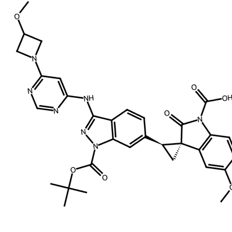 COc1ccc2c(c1)[C@]1(C[C@H]1c1ccc3c(Nc4cc(N5CC(OC)C5)ncn4)nn(C(=O)OC(C)(C)C)c3c1)C(=O)N2C(=O)O